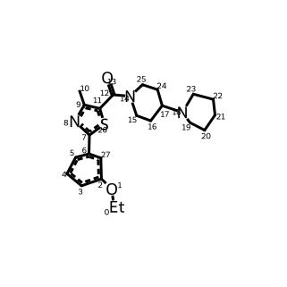 CCOc1cccc(-c2nc(C)c(C(=O)N3CCC(N4CCCCC4)CC3)s2)c1